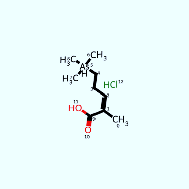 CC(=CCC[AsH](C)(C)C)C(=O)O.Cl